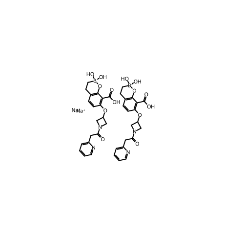 O=C(O)c1c(OC2CN(C(=O)Cc3ccccn3)C2)ccc2c1O[B-](O)(O)CC2.O=C(O)c1c(OC2CN(C(=O)Cc3ccccn3)C2)ccc2c1O[B-](O)(O)CC2.[Na+].[Na+]